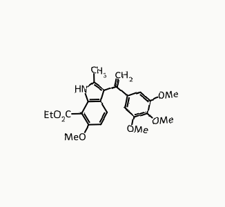 C=C(c1cc(OC)c(OC)c(OC)c1)c1c(C)[nH]c2c(C(=O)OCC)c(OC)ccc12